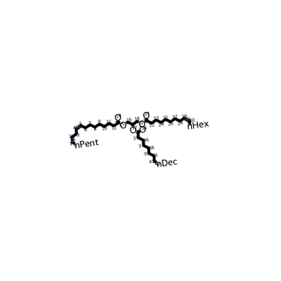 CCCCC/C=C\C/C=C\CCCCCCCC(=O)OCC(COC(=O)CCCCCCC/C=C\CCCCCC)OC(=O)CCCCCCCCCCCCCCCCC